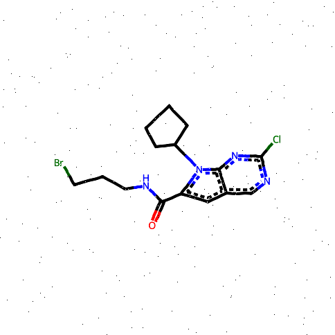 O=C(NCCCBr)c1cc2cnc(Cl)nc2n1C1CCCC1